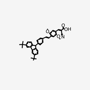 COc1cc(/C=C(\C#N)C(=O)O)c(OC)cc1/C=C/c1ccc(C2c3ccc(C(C)(C)C)cc3-c3cc(C(C)(C)C)ccc32)cc1